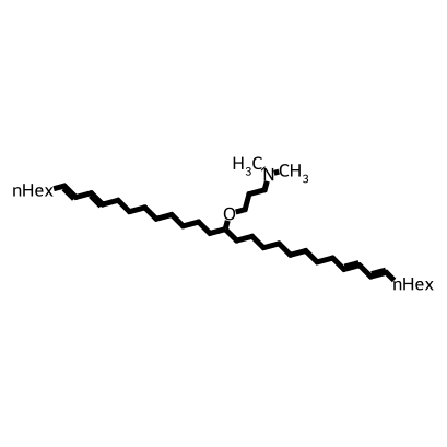 CCCCCCC=CC=CCCCCCCCCC(CCCCCCCCC=CC=CCCCCCC)OCCCN(C)C